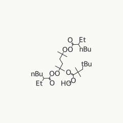 CC(C)(C)CC(C)(C)C(=O)OO.CCCCC(CC)C(=O)OOC(C)(C)CCC(C)(C)OOC(=O)C(CC)CCCC